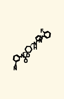 N#Cc1cccc(N2C[C@]3(CC[C@@H](CNc4ccn(-c5ccccc5F)n4)CC3)OC2=O)c1